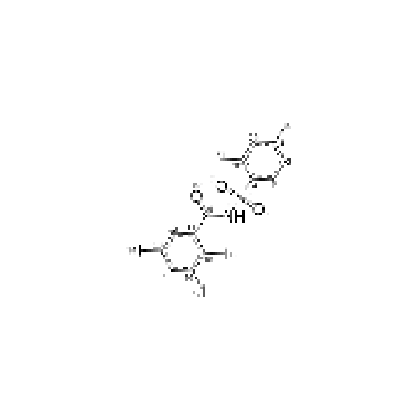 Cc1ccc(S(=O)(=O)NC(=O)c2cc(I)cc(I)c2I)c(C)c1